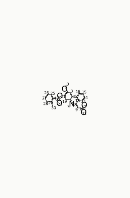 COc1ccc(N(C)c2cc(=O)oc3ccccc23)cc1OC(=O)c1ccccc1C